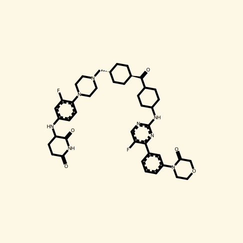 O=C1CCC(Nc2ccc(N3CCN(C[C@H]4CC[C@H](C(=O)C5CCC(Nc6ncc(F)c(-c7cccc(N8CCOCC8=O)c7)n6)CC5)CC4)CC3)c(F)c2)C(=O)N1